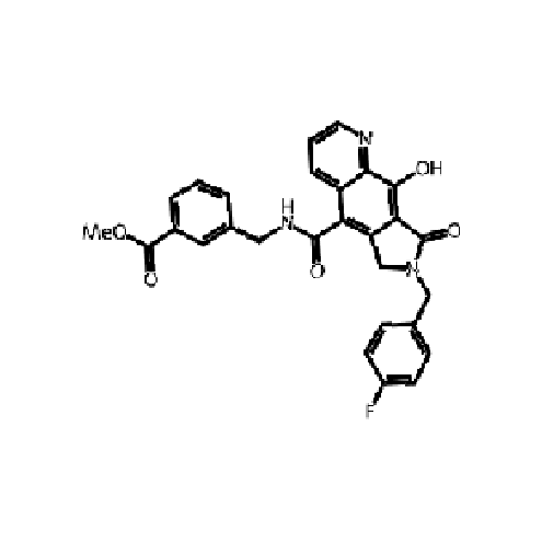 COC(=O)c1cccc(CNC(=O)c2c3c(c(O)c4ncccc24)C(=O)N(Cc2ccc(F)cc2)C3)c1